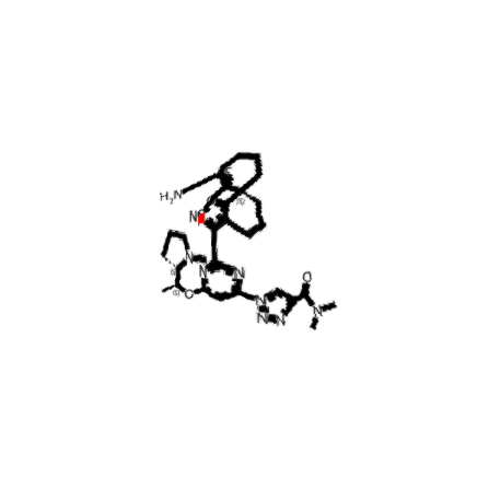 C[C@H](Oc1cc(-n2cc(C(=O)N(C)C)nn2)nc(-c2noc3c2CCC[C@@]32CCCc3sc(N)c(C#N)c32)n1)[C@@H]1CCCN1C